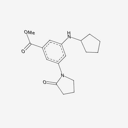 COC(=O)c1cc(NC2CCCC2)cc(N2CCCC2=O)c1